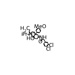 C=CC[N@@+]1(CC(C)C)CC[C@]2(c3cccc(OC)c3)C[C@@H](NC(=O)Cc3ccc(Cl)c(Cl)c3)CCC2(O)C1